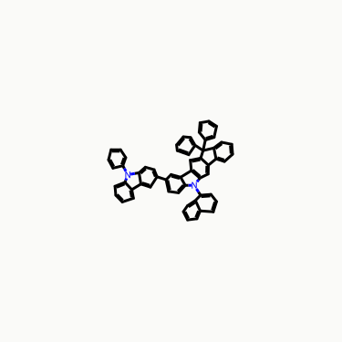 c1ccc(-n2c3ccccc3c3cc(-c4ccc5c(c4)c4cc6c(cc4n5-c4cccc5ccccc45)-c4ccccc4C6(c4ccccc4)c4ccccc4)ccc32)cc1